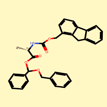 CC(C)[C@H](NC(=O)OCc1cccc2c1Cc1ccccc1-2)C(=O)OC(OCc1ccccc1)c1ccccc1